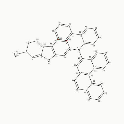 CC1C=c2oc3cc(N(c4ccccc4-c4ccccc4)c4cc5ccc6ccccc6c5c5ccccc45)ccc3c2=CC1